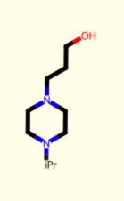 CC(C)N1CCN(CCCO)CC1